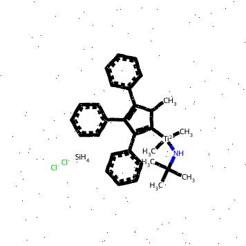 CC1C(c2ccccc2)=C(c2ccccc2)C(c2ccccc2)=[C]1[Ti+2]([CH3])([CH3])[NH]C(C)(C)C.[Cl-].[Cl-].[SiH4]